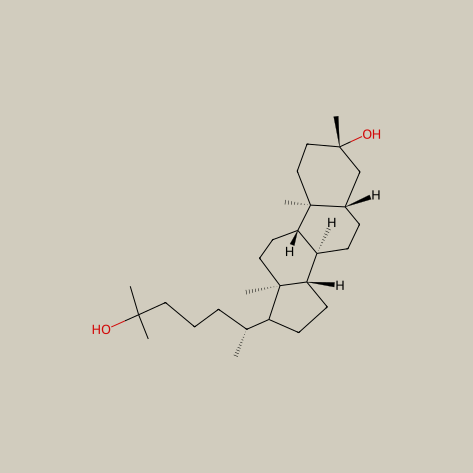 C[C@H](CCCC(C)(C)O)C1CC[C@H]2[C@@H]3CC[C@H]4C[C@@](C)(O)CC[C@]4(C)[C@H]3CC[C@]12C